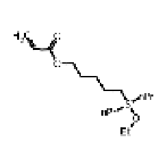 C=CC(=O)OCCCCC[Si](CCC)(CCC)OCC